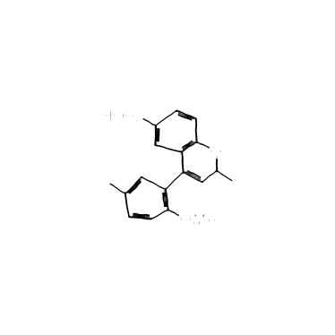 COc1ccc(F)cc1C1=CC(C)Oc2ccc(C(=O)O)cc21